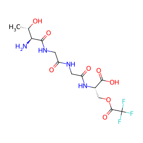 C[C@H](O)[C@H](N)C(=O)NCC(=O)NCC(=O)N[C@@H](COC(=O)C(F)(F)F)C(=O)O